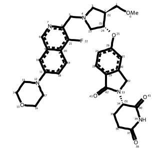 COC[C@@H]1CN(Cc2ncc3cc(N4CCOCC4)ccc3c2F)C[C@H]1Oc1ccc2c(c1)CN([C@H]1CCC(=O)NC1=O)C2=O